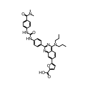 CCCN(CCC)c1nc(-c2ccc(NC(=O)Nc3ccc(C(=O)N(C)C)cc3)cc2)nc2cc(-c3ccc(C(=O)O)o3)ccc12